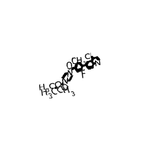 Cc1cc(-c2ccc3nccc(Cl)c3c2)c(F)cc1C(=O)N1CCN(C(=O)OC(C)(C)C)CC1